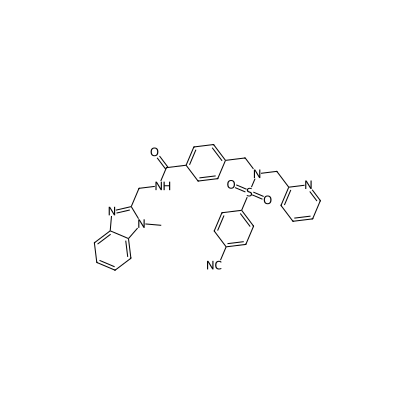 Cn1c(CNC(=O)c2ccc(CN(Cc3ccccn3)S(=O)(=O)c3ccc(C#N)cc3)cc2)nc2ccccc21